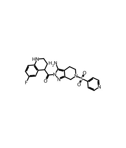 Nc1c2c(nn1C(=O)C1CCNc3ccc(F)cc31)CN(S(=O)(=O)c1ccncc1)CC2